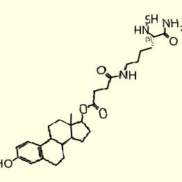 CC12CCC3c4ccc(O)cc4CCC3C1CCC2OC(=O)CCC(=O)NCCCC[C@H](NS)C(N)=O